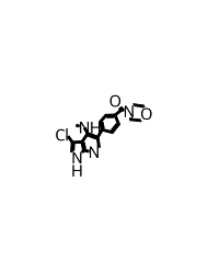 CNc1c(-c2ccc(C(=O)N3CCOCC3)cc2)cnc2[nH]cc(Cl)c12